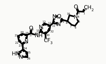 C=CC(=O)N1CCCC(c2nc(-c3cnc(NC(=O)c4cccc(-c5ccn[nH]5)n4)c(C(F)(F)F)c3)no2)C1